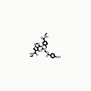 CCNC(=O)c1ccc(C)c(N(C(=O)OCOC(=O)c2ccc(O)cc2)c2ncnn3cc(C(=O)NCC)c(C)c23)c1